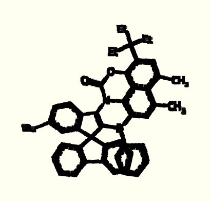 CCC(CC)(CC)c1cc(C)c2c(C)cc3c4c2c1OC(=O)N4C1=C(B3c2ccccc2)C2(c3cc(C(C)(C)C)ccc31)c1ccccc1-c1ccccc12